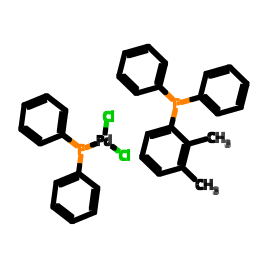 Cc1cccc(P(c2ccccc2)c2ccccc2)c1C.[Cl][Pd]([Cl])[P](c1ccccc1)c1ccccc1